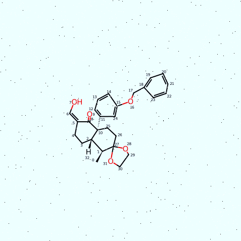 C[C@H]1[C@@H]2CC/C(=C/O)C(=O)[C@@]2(c2cccc(OCc3ccccc3)c2)CCC12OCCO2